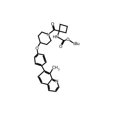 Cc1c(-c2ccc(OC3CCN(C(=O)C4(NC(=O)OC(C)(C)C)CCC4)CC3)cc2)ccc2cccnc12